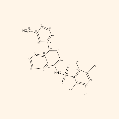 Cc1cc(C)c(C)c(S(=O)(=O)Nc2ccc(-c3cccc(C(=O)O)c3)c3ccccc23)c1C